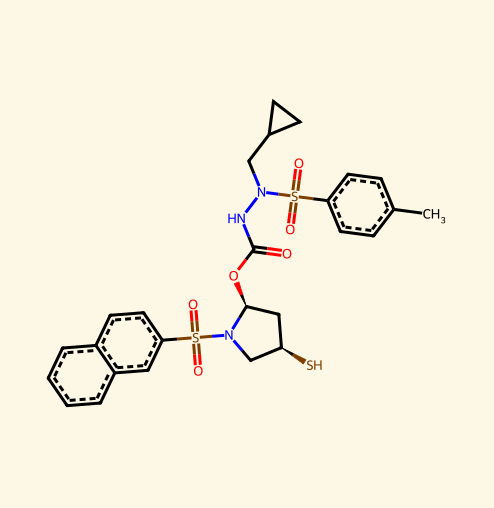 Cc1ccc(S(=O)(=O)N(CC2CC2)NC(=O)O[C@H]2C[C@@H](S)CN2S(=O)(=O)c2ccc3ccccc3c2)cc1